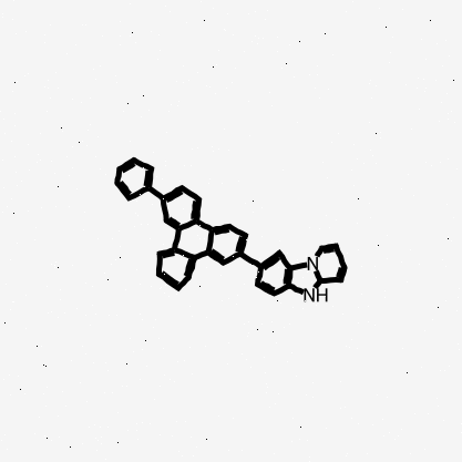 C1=CC2Nc3ccc(-c4ccc5c6ccc(-c7ccccc7)cc6c6ccccc6c5c4)cc3N2C=C1